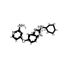 Nc1cc(Oc2ccc3nc(NC4CCCCC4)sc3c2)ccn1